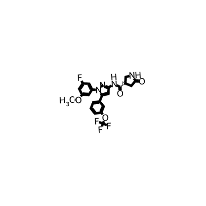 COc1cc(F)cc(-n2nc(NC(=O)[C@@H]3CNC(=O)C3)cc2-c2cccc(OC(F)(F)F)c2)c1